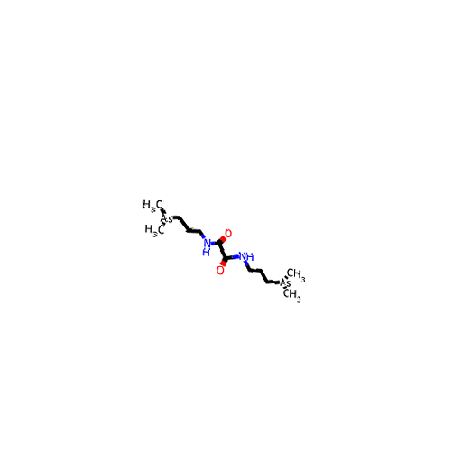 C[As](C)CCCNC(=O)C(=O)NCCC[As](C)C